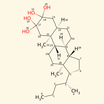 CCC[C@@H](C)[C@H]1CC[C@H]2[C@@H]3CC[C@@H]4CC(O)(O)C(O)(O)C[C@]4(C)[C@H]3CC[C@]12C